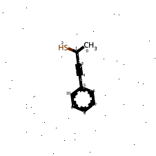 CC(S)C#Cc1ccccc1